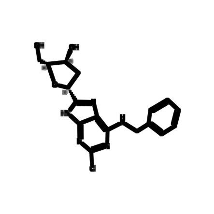 OC[C@H]1O[C@@H](c2nc3c(NCc4ccccc4)nc(Cl)nc3[nH]2)C[C@@H]1O